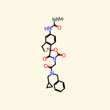 CNC(=O)Nc1ccc2c(c1)CC[C@@]21OC(=O)N(CC(=O)N(Cc2ccccc2)CC2CC2)C1=O